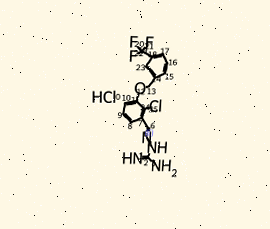 Cl.N=C(N)N/N=C/c1cccc(OCc2cccc(C(F)(F)F)c2)c1Cl